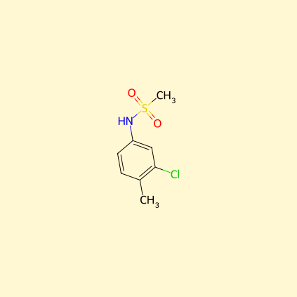 Cc1ccc(NS(C)(=O)=O)cc1Cl